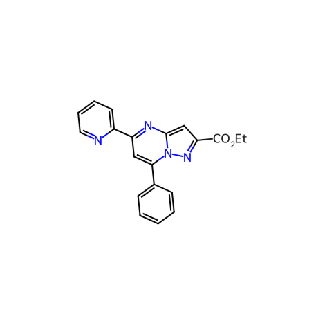 CCOC(=O)c1cc2nc(-c3ccccn3)cc(-c3ccccc3)n2n1